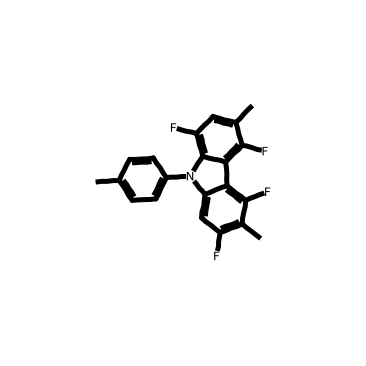 Cc1ccc(-n2c3cc(F)c(C)c(F)c3c3c(F)c(C)cc(F)c32)cc1